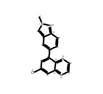 Cn1cc2cc(-c3cc(Cl)cc4nccnc34)ccc2n1